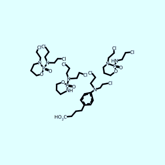 O=C(O)CCCc1ccc(N(CCCl)CCCl)cc1.O=P1(N(CCCl)CCCl)NCCCO1.O=P1(N(CCCl)CCCl)OCCCN1CCCl.O=P1(NCCCl)OCCCN1CCCl